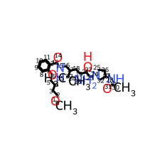 COCCCCOc1ccccc1C(=O)NCC(CC(N)C(O)CN1CC[C@H](NC(C)=O)C1)C(C)C